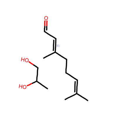 CC(C)=CCC/C(C)=C/C=O.CC(O)CO